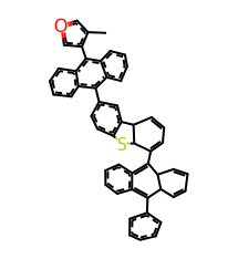 Cc1cocc1-c1c2ccccc2c(-c2ccc3c(c2)C2C=CC=C(C4=c5ccccc5=C(c5ccccc5)C5C=CC=CC45)C2S3)c2ccccc12